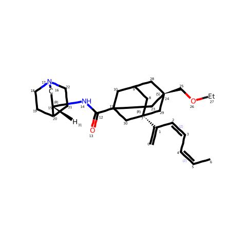 C=C(/C=C\C=C/C)[C@]12CC3CC(C(=O)N[C@H]4CN5CCC4CC5)(C[C@](COCC)(C3)C1)C2